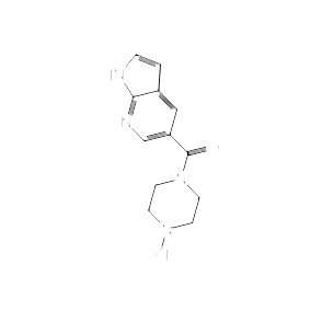 CN1CCN(C(=O)c2cnc3[nH]ccc3c2)CC1